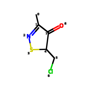 CC1=NSC(CCl)C1=O